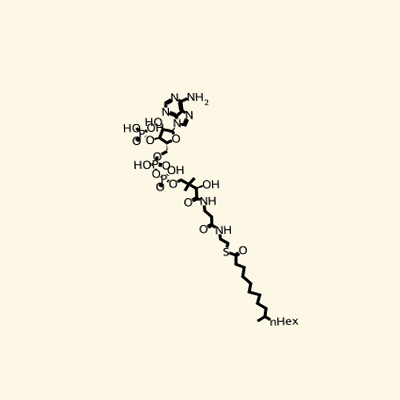 CCCCCCC(C)CCCCCCCCC(=O)SCCNC(=O)CCNC(=O)[C@H](O)C(C)(C)COP(=O)(O)OP(=O)(O)OC[C@H]1O[C@@H](n2cnc3c(N)ncnc32)[C@H](O)[C@@H]1OP(=O)(O)O